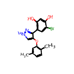 Cc1ccc(C)c(Oc2c[nH]nc2-c2cc(Br)c(O)cc2O)c1